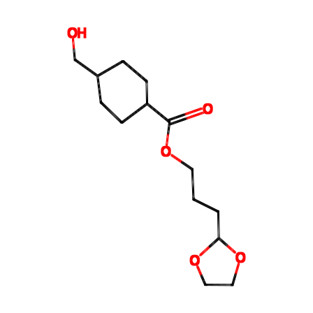 O=C(OCCCC1OCCO1)C1CCC(CO)CC1